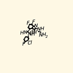 N=C(c1cc(F)c(F)c2nc(NCCN)[nH]c12)N(O)c1ccc(F)c(Cl)c1